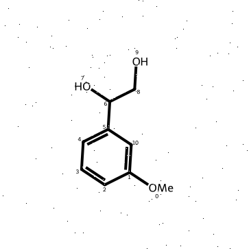 COc1cccc(C(O)CO)c1